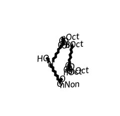 CCCCCCCCCOC(=O)CCCCCCCN(CCO)CCCCCCCOP(=O)(OCCCCCCCC)OCCCCCCCC.CCCCCCCCOP(=O)(OCCCCCCCC)OCCCCCCCBr